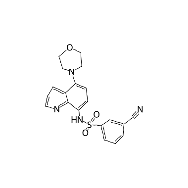 N#Cc1cccc(S(=O)(=O)Nc2ccc(N3CCOCC3)c3cccnc23)c1